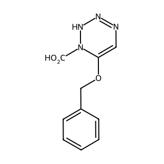 O=C(O)N1NN=NC=C1OCc1ccccc1